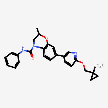 CC1CN(C(=O)Nc2ccccc2)c2ccc(-c3ccc(OCC4(C(=O)O)CC4)nc3)cc2O1